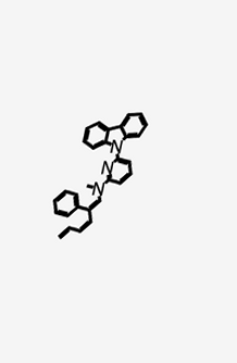 C=C/C=C\C(=C\N(C)c1cccc(-n2c3ccccc3c3ccccc32)n1)c1ccccc1